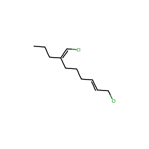 CCCC(=CCl)CCCC=CCCl